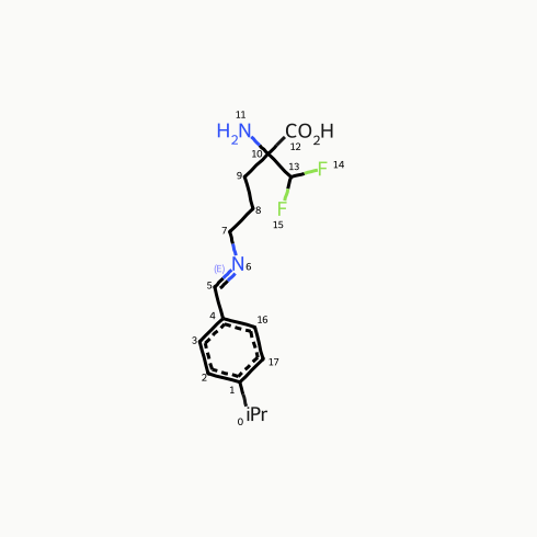 CC(C)c1ccc(/C=N/CCCC(N)(C(=O)O)C(F)F)cc1